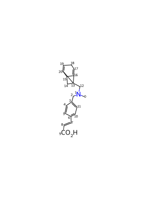 CN(Cc1ccc(/C=C/C(=O)O)cc1)CC12CC3C1=CCC=C32